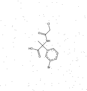 CC(NC(=O)CCl)(C(=O)O)c1cccc(Br)c1